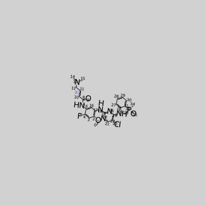 COc1cc(F)c(NC(=O)/C=C/CN(C)C)cc1Nc1ncc(Cl)c(Nc2ccccc2P(C)(C)=O)n1